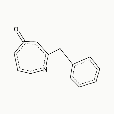 O=c1cccnc(Cc2ccccc2)c1